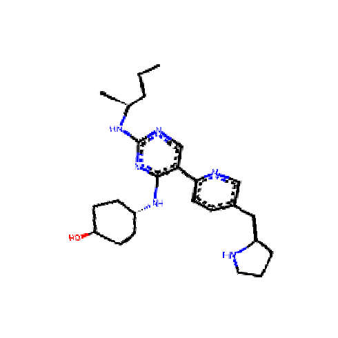 CCC[C@H](C)Nc1ncc(-c2ccc(CC3CCCN3)cn2)c(N[C@H]2CC[C@H](O)CC2)n1